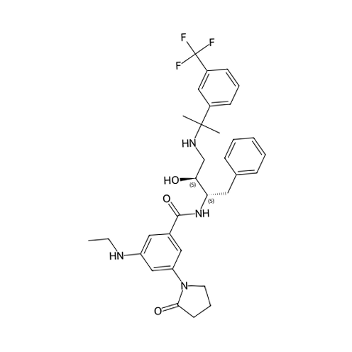 CCNc1cc(C(=O)N[C@@H](Cc2ccccc2)[C@@H](O)CNC(C)(C)c2cccc(C(F)(F)F)c2)cc(N2CCCC2=O)c1